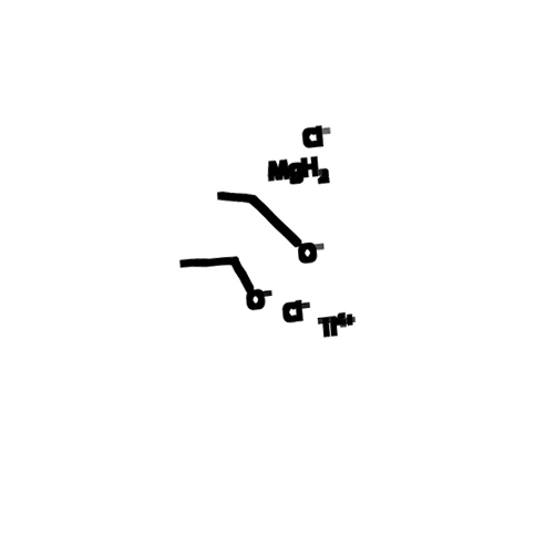 CC[O-].CC[O-].[Cl-].[Cl-].[MgH2].[Ti+4]